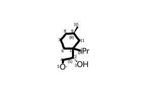 CC(C)C1([C@H](O)C[O])CCC[C@@H](C)C1